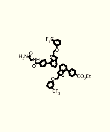 CCOC(=O)c1ccc(-c2cccc3cc(COc4cccc(C(F)(F)F)c4)sc23)cc1.NC(=O)CNC(=O)c1ccc(-c2cccc3cc(COc4cccc(C(F)(F)F)c4)sc23)cc1